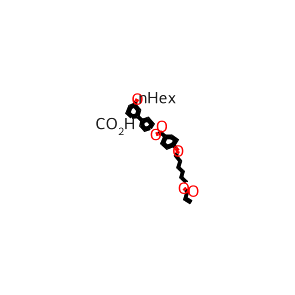 C=CC(=O)OCCCCCCOc1ccc(C(=O)Oc2ccc(-c3cc(OCCCCCC)ccc3C(=O)O)cc2)cc1